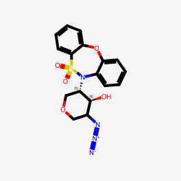 [N-]=[N+]=NC1COC[C@H](N2c3ccccc3Oc3ccccc3S2(=O)=O)[C@H]1O